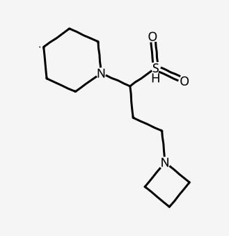 O=[SH](=O)C(CCN1CCC1)N1CC[CH]CC1